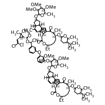 CC1(C)[C@H](C=C(Cl)Cl)[C@H]1C(=O)OC(C#N)c1cccc(Oc2ccccc2)c1.CC[C@H]1CCC[C@H](O[C@H]2CC[C@H](N(C)C)[C@@H](C)O2)[C@@H](C)C(=O)C2=C[C@@H]3[C@@H](C=C(C)[C@@H]4C[C@@H](O[C@@H]5O[C@@H](C)[C@H](OC)[C@@H](OC)[C@H]5OC)C[C@@H]34)[C@@H]2CC(=O)O1.CC[C@H]1CCC[C@H](O[C@H]2CC[C@H](N(C)C)[C@@H](C)O2)[C@@H](C)C(=O)C2=C[C@@H]3[C@@H](C=C[C@@H]4C[C@@H](O[C@@H]5O[C@@H](C)[C@H](OC)[C@@H](OC)[C@H]5OC)C[C@@H]34)[C@@H]2CC(=O)O1